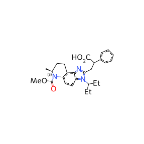 CCC(CC)n1c(CC(C(=O)O)c2ccccc2)nc2c3c(ccc21)N(C(=O)OC)[C@@H](C)CC3